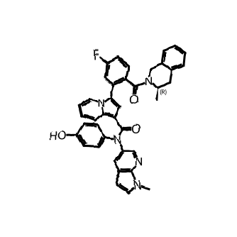 C[C@@H]1Cc2ccccc2CN1C(=O)c1ccc(F)cc1-c1cc(C(=O)N(c2ccc(O)cc2)c2cnc3c(ccn3C)c2)c2ccccn12